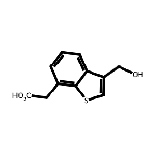 O=C(O)Cc1cccc2c(CO)csc12